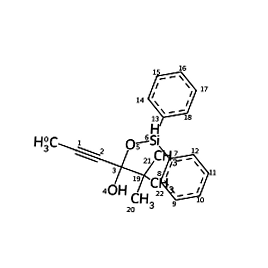 CC#CC(O)(O[SiH](c1ccccc1)c1ccccc1)C(C)(C)C